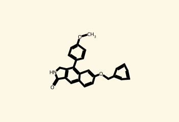 COc1ccc(-c2c3c(cc4ccc(OCc5ccccc5)cc24)C(=O)NC3)cc1